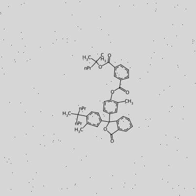 CCCC(C)(C)OC(=O)c1cccc(C(=O)Oc2ccc(C3(c4ccc(C(C)(CCC)CCC)c(C)c4)OC(=O)c4ccccc43)cc2C)c1